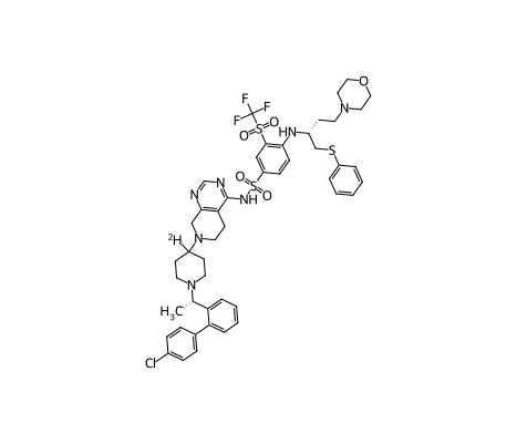 [2H]C1(N2CCc3c(ncnc3NS(=O)(=O)c3ccc(N[C@H](CCN4CCOCC4)CSc4ccccc4)c(S(=O)(=O)C(F)(F)F)c3)C2)CCN([C@@H](C)c2ccccc2-c2ccc(Cl)cc2)CC1